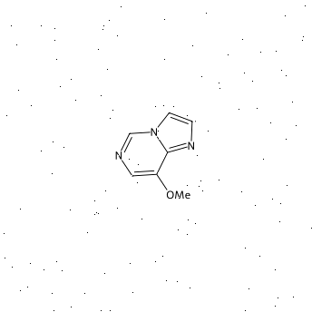 COc1cncn2c[c]nc12